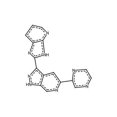 c1cnc2[nH]c(-c3n[nH]c4cnc(-c5cnccn5)cc34)nc2c1